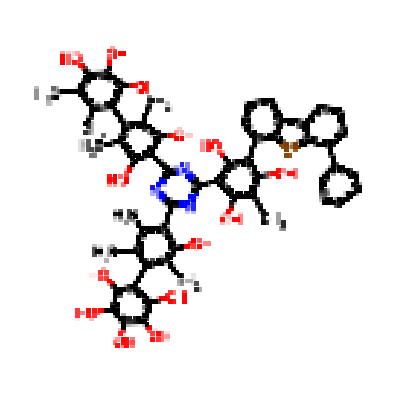 Bc1c(B)c(-c2c(B)c(O)c(-c3nc(-c4c(B)c(B)c(-c5c(O)c(O)c(O)c(O)c5O)c(B)c4O)nc(-c4c(O)c(B)c(O)c(-c5cccc6c5sc5c(-c7ccccc7)cccc56)c4O)n3)c(O)c2B)c(O)c(O)c1O